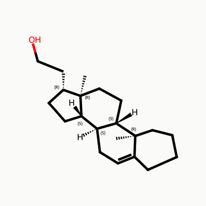 C[C@]12CC[C@H]3[C@@H](CC=C4CCCC[C@@]43C)[C@@H]1CC[C@@H]2CCO